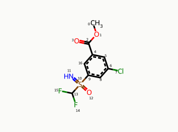 COC(=O)c1cc(Cl)cc(S(=N)(=O)C(F)F)c1